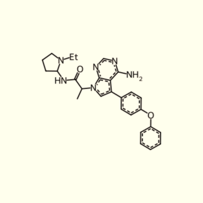 CCN1CCCC1NC(=O)C(C)n1cc(-c2ccc(Oc3ccccc3)cc2)c2c(N)ncnc21